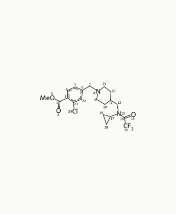 COC(=O)c1ccc(CN2CCC(CN(C(=O)C(F)(F)F)C3CC3)CC2)cc1Cl